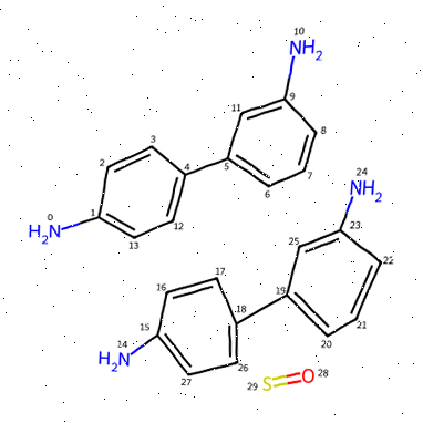 Nc1ccc(-c2cccc(N)c2)cc1.Nc1ccc(-c2cccc(N)c2)cc1.O=S